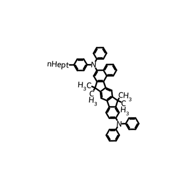 CCCCCCCc1ccc(N(c2ccccc2)c2cc3c(c4ccccc24)-c2cc4c(cc2C3(C)C)-c2ccc(N(c3ccccc3)c3ccccc3)cc2C4(C)C)cc1